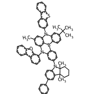 Cc1cc2c3c(c1)N(c1cccc4c1oc1ccccc14)c1cc(N4c5ccc(-c6ccccc6)cc5C5(C)CCCCC45C)ccc1B3c1ccc(C(C)(C)C)cc1N2c1ccc2c(c1)sc1ccccc12